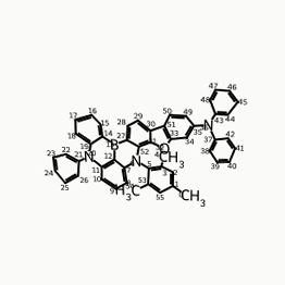 Cc1cc(C)c(N2c3cccc4c3B(c3ccccc3N4c3ccccc3)c3ccc4c(oc5cc(N(c6ccccc6)c6ccccc6)ccc54)c32)c(C)c1